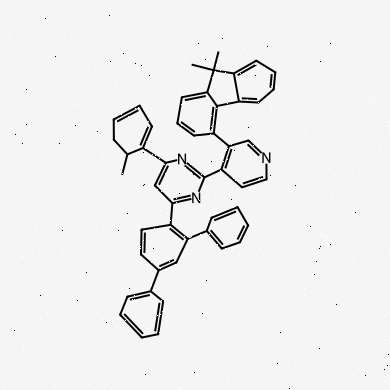 CC1CC=CC=C1c1cc(-c2ccc(-c3ccccc3)cc2-c2ccccc2)nc(-c2ccncc2-c2cccc3c2-c2ccccc2C3(C)C)n1